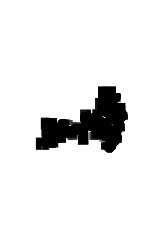 C#CCC(Cc1cnc2nc(N)nc(N)c2n1)c1ccc(C(=O)NCC[S+]([O-])CP(=O)(OCC)OCC)cc1